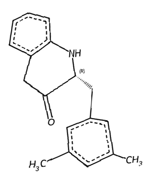 Cc1cc(C)cc(C[C@H]2Nc3ccccc3CC2=O)c1